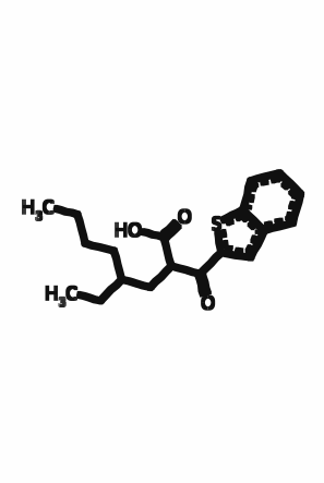 CCCCC(CC)CC(C(=O)O)C(=O)c1cc2ccccc2s1